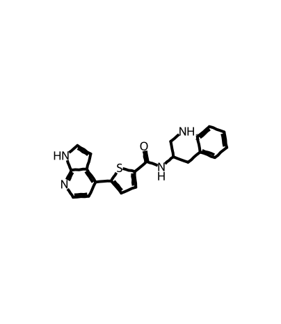 NCC(Cc1ccccc1)NC(=O)c1ccc(-c2ccnc3[nH]ccc23)s1